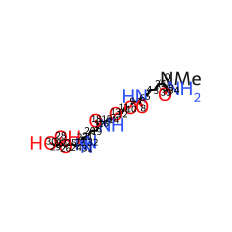 CN[C@@H](CCCCNC(=O)COCCOCCNC(=O)CCc1cn(CCO[C@H](O)CO)nn1)C(N)=O